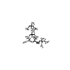 CC(C)(CO)CO.CC(C)(CO)CO.CC(C)(CO)CO.OB(O)OB(O)O